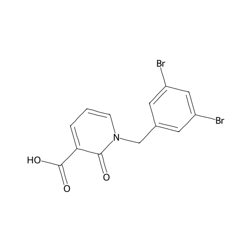 O=C(O)c1cccn(Cc2cc(Br)cc(Br)c2)c1=O